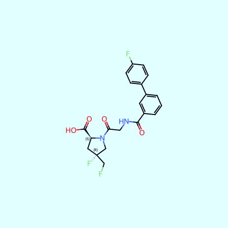 O=C(NCC(=O)N1C[C@@](F)(CF)C[C@H]1C(=O)O)c1cccc(-c2ccc(F)cc2)c1